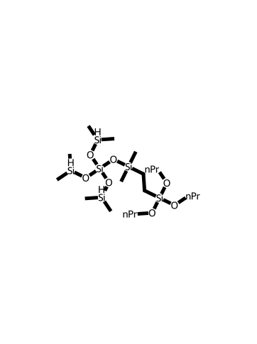 CCCO[Si](CC[Si](C)(C)O[Si](O[SiH](C)C)(O[SiH](C)C)O[SiH](C)C)(OCCC)OCCC